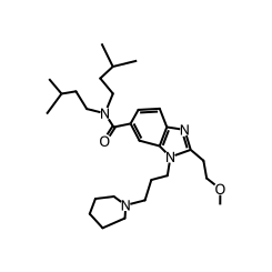 COCCc1nc2ccc(C(=O)N(CCC(C)C)CCC(C)C)cc2n1CCCN1CCCCC1